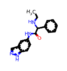 CCNC(C(=O)Nc1ccc2[nH]ncc2c1)c1ccccc1